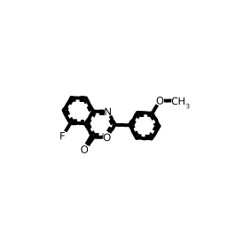 COc1cccc(-c2nc3cccc(F)c3c(=O)o2)c1